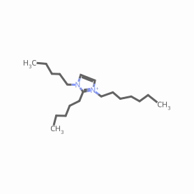 CCCCCCC[n+]1ccn(CCCCC)c1CCCCC